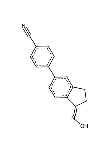 N#Cc1ccc(-c2ccc3c(c2)CC/C3=N\O)cc1